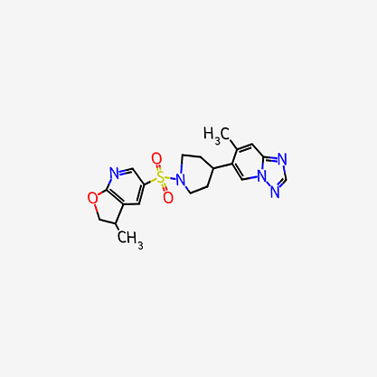 Cc1cc2ncnn2cc1C1CCN(S(=O)(=O)c2cnc3c(c2)C(C)CO3)CC1